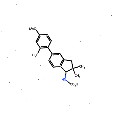 COc1ccc(-c2ccc3c(c2)CC(C)(C)C3NC(=O)O)c(C)c1